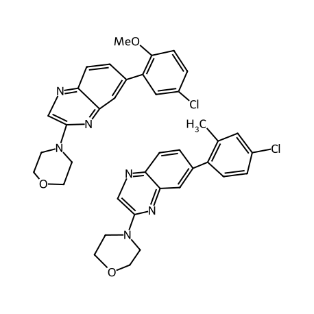 COc1ccc(Cl)cc1-c1ccc2ncc(N3CCOCC3)nc2c1.Cc1cc(Cl)ccc1-c1ccc2ncc(N3CCOCC3)nc2c1